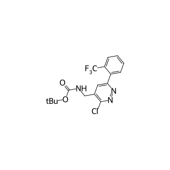 CC(C)(C)OC(=O)NCc1cc(-c2ccccc2C(F)(F)F)nnc1Cl